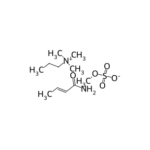 CC=CC(N)=O.CCC[N+](C)(C)C.COS(=O)(=O)[O-]